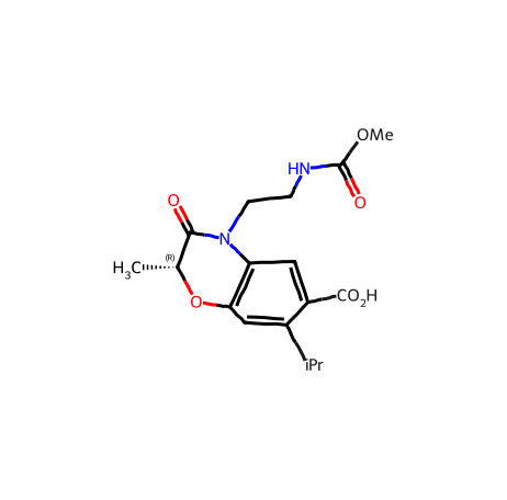 COC(=O)NCCN1C(=O)[C@@H](C)Oc2cc(C(C)C)c(C(=O)O)cc21